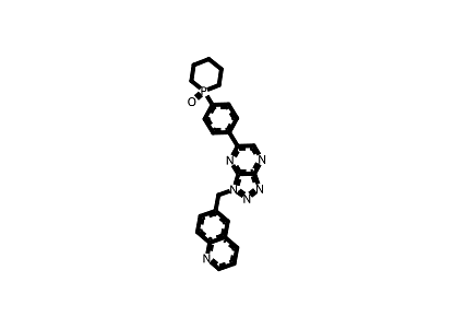 O=P1(c2ccc(-c3cnc4nnn(Cc5ccc6ncccc6c5)c4n3)cc2)CCCCC1